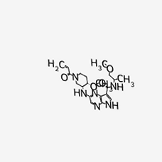 C=CC(=O)N1CC[C@H](OC)[C@H](Nc2cnc3[nH]cc(C(=O)N[C@H](C)COC)c3n2)C1